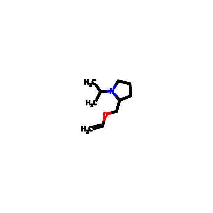 C=COCC1CCCN1C(C)C